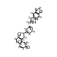 Cn1c(=O)ccc2ncc(Cl)c(CCN3CCO[C@@H](CNCc4cc5c(cn4)OCS5)C3)c21